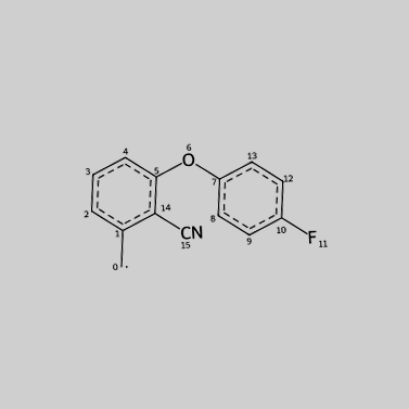 [CH2]c1cccc(Oc2ccc(F)cc2)c1C#N